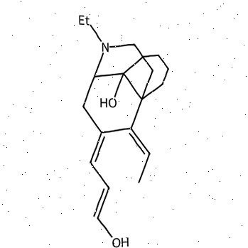 C\C=C1/C(=C\C=C\O)CC2N(CC)CCC13CCCCC23O